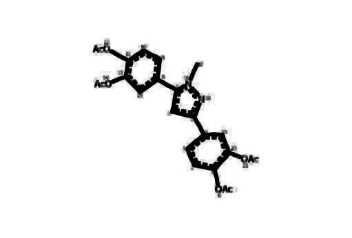 CC(=O)Oc1ccc(-c2cc(-c3ccc(OC(C)=O)c(OC(C)=O)c3)n(C)n2)cc1OC(C)=O